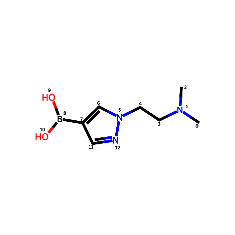 CN(C)CCn1cc(B(O)O)cn1